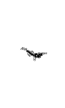 CNCCC(=O)OCC(=O)Nc1ccn([C@@H]2O[C@H](CO)C[C@@H]2F)c(=O)n1